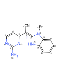 CCN1/C(=C(\C#N)c2ccnc(N)n2)Nc2ccccc21